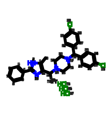 Cc1[nH]c(-c2ccccc2)nc1C(C(C)C)N1CCN(C(c2ccc(Cl)cc2)c2ccc(Cl)cc2)CC1.Cl.Cl.Cl